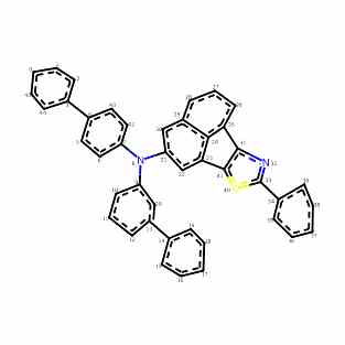 c1ccc(-c2ccc(N(c3cccc(-c4ccccc4)c3)c3cc4c5c(cccc5c3)-c3nc(-c5ccccc5)sc3-4)cc2)cc1